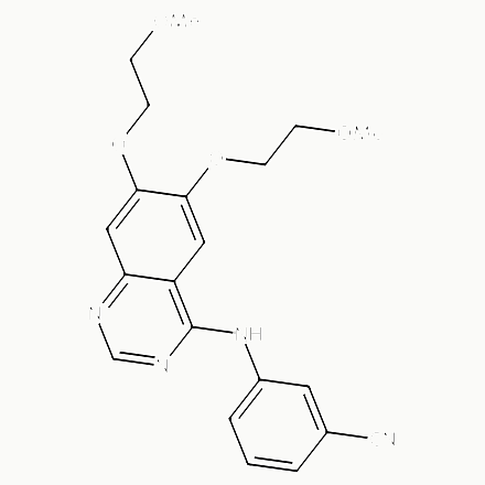 COCCOc1cc2ncnc(Nc3cccc(C#N)c3)c2cc1OCCOC